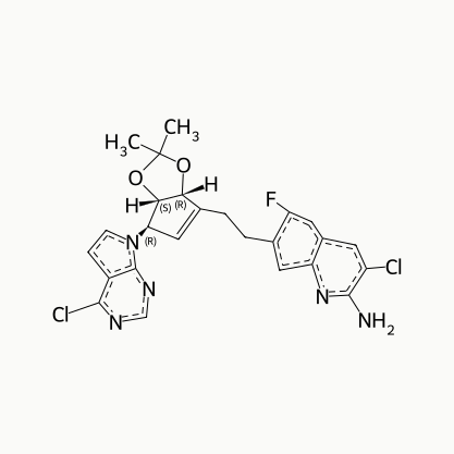 CC1(C)O[C@@H]2[C@H](O1)C(CCc1cc3nc(N)c(Cl)cc3cc1F)=C[C@H]2n1ccc2c(Cl)ncnc21